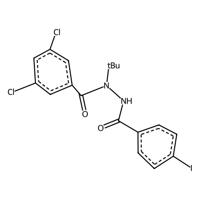 CC(C)(C)N(NC(=O)c1ccc(I)cc1)C(=O)c1cc(Cl)cc(Cl)c1